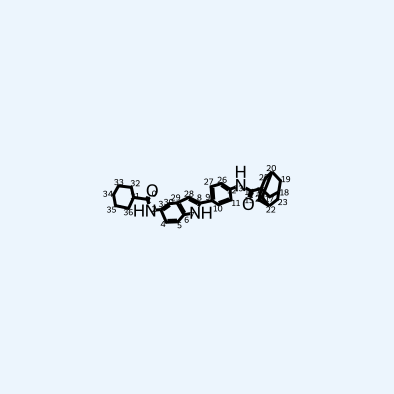 O=C(Nc1ccc2[nH]c(-c3ccc(NC(=O)C45CC6CC(CC(C6)C4)C5)cc3)cc2c1)C1CCCCC1